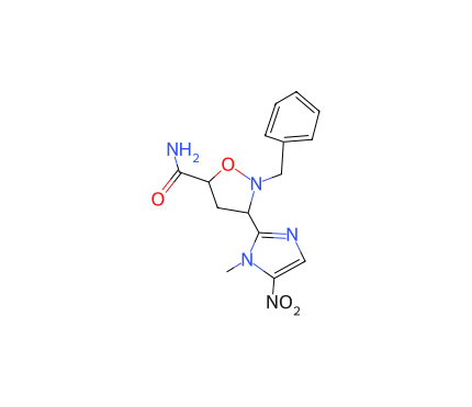 Cn1c([N+](=O)[O-])cnc1C1CC(C(N)=O)ON1Cc1ccccc1